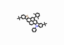 Cc1cccc(C)c1-c1cc2c3sc4ccc(C(C)(C)C)cc4c3cc3ccc4c(c1cc1c5cc(C(C)(C)C)ccc5n(-c5ccccc5)c14)c32